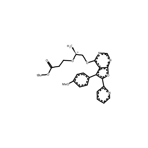 COc1ccc(-c2c(-c3ccccn3)oc3ncnc(OC[C@H](C)OCCC(=O)OC(C)(C)C)c23)cc1